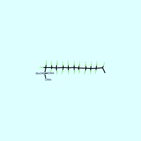 CO[Si](OC)(OC)C(F)(F)C(F)(F)C(F)(F)C(F)(F)C(F)(F)C(F)(F)C(F)(F)C(F)(F)C(F)(F)C(F)(F)C(C)F